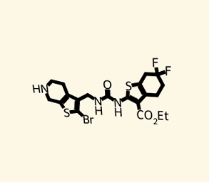 CCOC(=O)c1c(NC(=O)NCc2c(Br)sc3c2CCNC3)sc2c1CCC(F)(F)C2